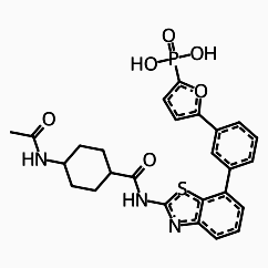 CC(=O)NC1CCC(C(=O)Nc2nc3cccc(-c4cccc(-c5ccc(P(=O)(O)O)o5)c4)c3s2)CC1